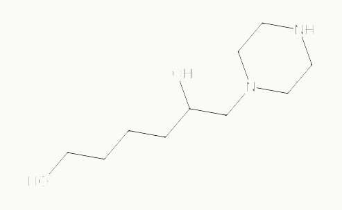 OCCCCC(O)CN1CCNCC1